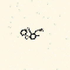 Cc1ccc(Oc2ccccc2)c(C#N)c1CC#N